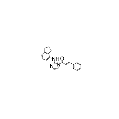 O=C(C=Cc1ccccc1)n1ccnc1Nc1cccc2c1CCC2